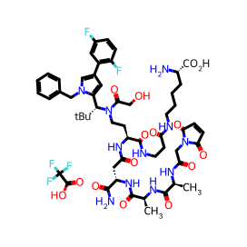 C[C@H](NC(=O)CN1C(=O)C=CC1=O)C(=O)N[C@@H](C)C(=O)N[C@@H](CC(=O)N[C@@H](CCN(C(=O)CO)[C@@H](c1cc(-c2cc(F)ccc2F)cn1Cc1ccccc1)C(C)(C)C)C(=O)NCCC(=O)NCCCC[C@H](N)C(=O)O)C(N)=O.O=C(O)C(F)(F)F